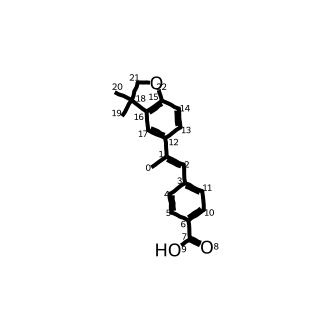 CC(=Cc1ccc(C(=O)O)cc1)c1ccc2c(c1)C(C)(C)CO2